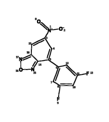 O=[N+]([O-])c1cc(-c2cc(F)cc(F)c2)c2nonc2c1